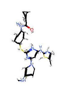 CN[C@@H]1CCN(c2cc(Nc3ncc(C)s3)nc(Sc3ccc(NC(=O)C4CC4)cc3)n2)C1